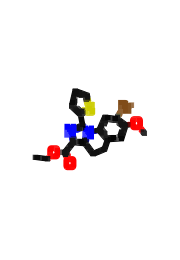 CCOC(=O)c1nc(-c2cccs2)n2c1CCc1cc(OC)c(Br)cc1-2